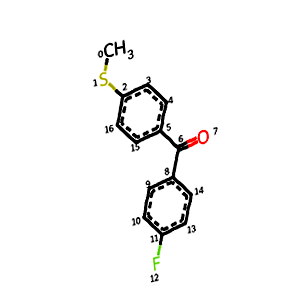 CSc1ccc(C(=O)c2ccc(F)cc2)cc1